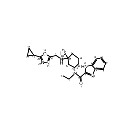 CCN(C(=O)c1nc2ccccc2[nH]1)[C@H]1CCCC(S)(NCc2nnc(C3CC3)o2)C1